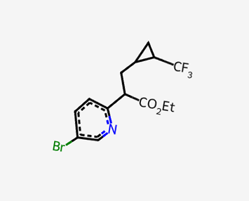 CCOC(=O)C(CC1CC1C(F)(F)F)c1ccc(Br)cn1